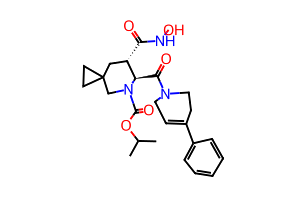 CC(C)OC(=O)N1CC2(CC2)C[C@H](C(=O)NO)[C@H]1C(=O)N1CC=C(c2ccccc2)CC1